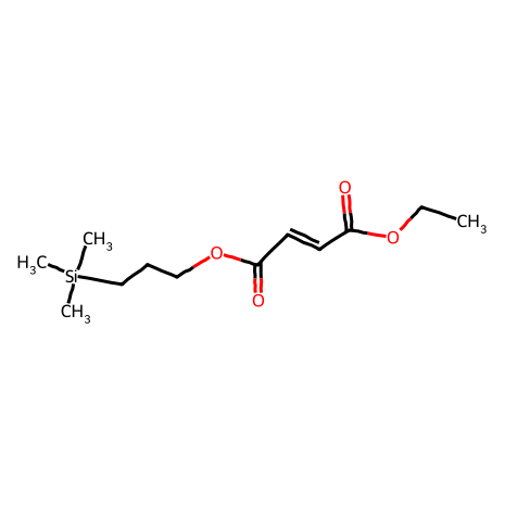 CCOC(=O)/C=C/C(=O)OCCC[Si](C)(C)C